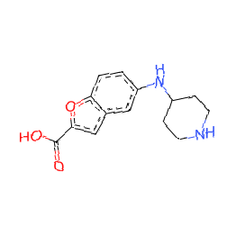 O=C(O)c1cc2cc(NC3CCNCC3)ccc2o1